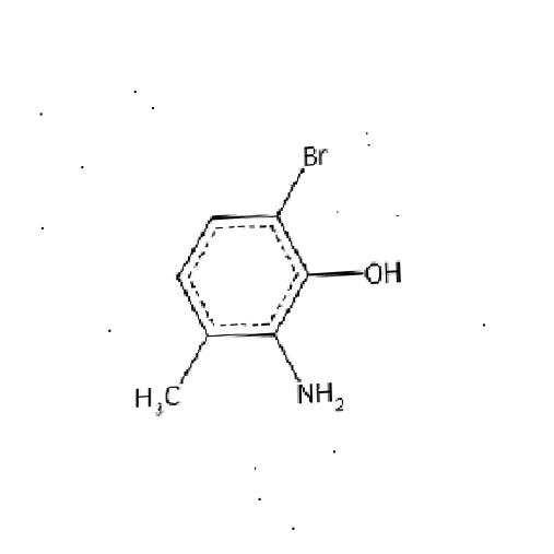 Cc1ccc(Br)c(O)c1N